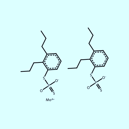 CCCc1cccc(SP([O-])([O-])=S)c1CCC.CCCc1cccc(SP([O-])([O-])=S)c1CCC.[Mo+4]